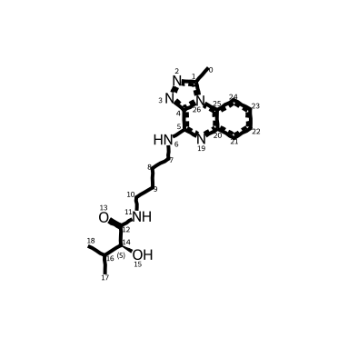 Cc1nnc2c(NCCCCNC(=O)[C@@H](O)C(C)C)nc3ccccc3n12